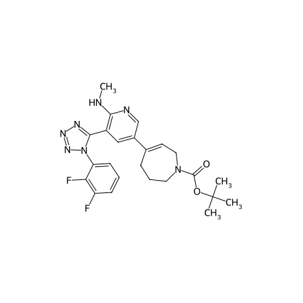 CNc1ncc(C2=CCN(C(=O)OC(C)(C)C)CCC2)cc1-c1nnnn1-c1cccc(F)c1F